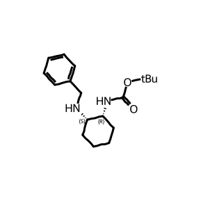 CC(C)(C)OC(=O)N[C@@H]1CCCC[C@@H]1NCc1ccccc1